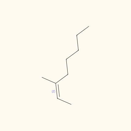 C/C=C(/C)CCCCC